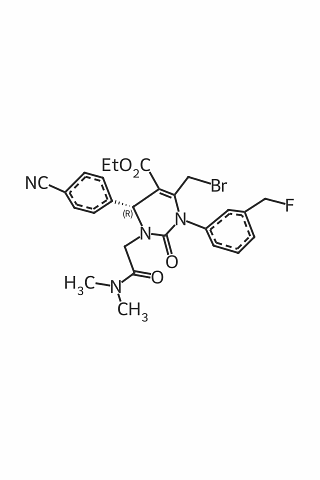 CCOC(=O)C1=C(CBr)N(c2cccc(CF)c2)C(=O)N(CC(=O)N(C)C)[C@@H]1c1ccc(C#N)cc1